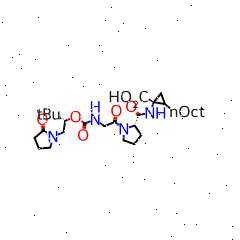 CCCCCCCCC1C[C@]1(NC(=O)[C@@H]1CCCN1C(=O)CNC(=O)O[C@H](CN1CCCC1=O)C(C)(C)C)C(=O)O